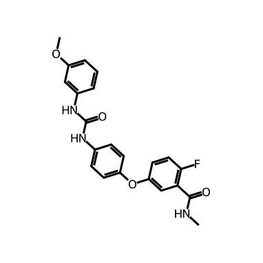 CNC(=O)c1cc(Oc2ccc(NC(=O)Nc3cccc(OC)c3)cc2)ccc1F